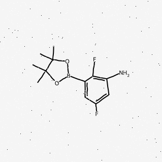 CC1(C)OB(c2cc(F)cc(N)c2F)OC1(C)C